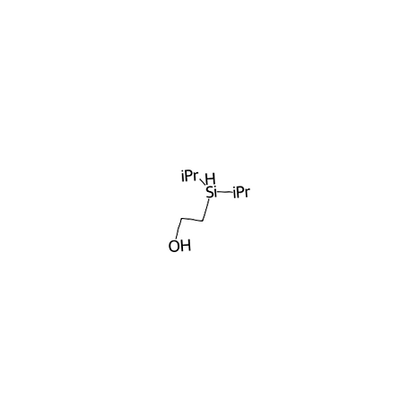 CC(C)[SiH](CCO)C(C)C